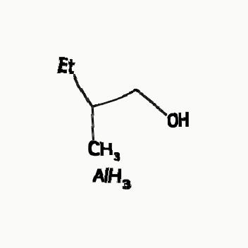 CCC(C)CO.[AlH3]